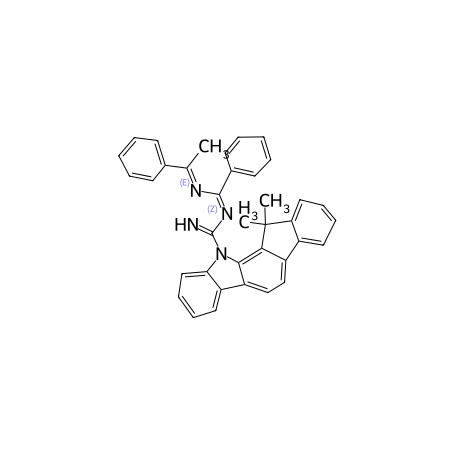 C/C(=N\C(=N/C(=N)n1c2ccccc2c2ccc3c(c21)C(C)(C)c1ccccc1-3)c1ccccc1)c1ccccc1